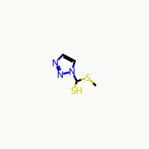 CSC(S)n1ccnn1